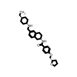 CC[C@H]1CC[C@H](NCc2ccc3c(c2)CC[C@H](NC(=O)c2ccc(OC[C@@H]4CCCO4)cc2)C3)CC1